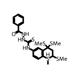 CSC1CC(SC)(SC)c2cc(NC(=S)NNC(=O)c3ccccc3)ccc2[SH]1C